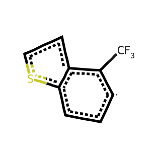 FC(F)(F)c1[c]ccc2sccc12